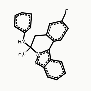 Fc1ccc2c(c1)CC(Nc1ccccc1)(C(F)(F)F)n1nc3ccccc3c1-2